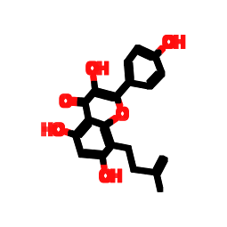 C=C(C)CCc1c(O)cc(O)c2c(=O)c(O)c(-c3ccc(O)cc3)oc12